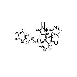 O=C1C(c2cccnc2)=C(c2cc[nH]n2)c2c(OCCCc3ccccc3)cccc21